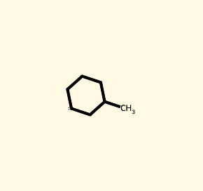 CC1C[C]CCC1